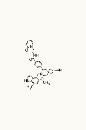 COc1cc(C)c2[nH]ccc2c1CN1CCC2(CC(C#N)C2)CC1c1ccc(C(=O)NCCn2ccccc2=O)cc1